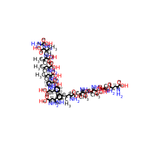 CC(C)C[C@H](N)C(=O)O.CC(C)C[C@H](N)C(=O)O.CC(C)C[C@H](N)C(=O)O.CC(C)[C@H](N)C(=O)O.CC(C)[C@H](N)C(=O)O.CC(C)[C@H](N)C(=O)O.CC[C@H](C)[C@H](N)C(=O)O.C[C@H](N)C(=O)O.NCC(=O)O.N[C@@H](CCC(=O)O)C(=O)O.N[C@@H](Cc1c[nH]c2ccccc12)C(=O)O.N[C@@H](Cc1ccccc1)C(=O)O.O=C(O)[C@@H]1CCCN1